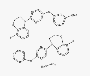 CNC.COc1cccc(Oc2cnc(N3CCOc4c(F)cccc43)nc2)c1.Fc1cccc2c1OCCN2c1ncc(Oc2ccccc2)cn1